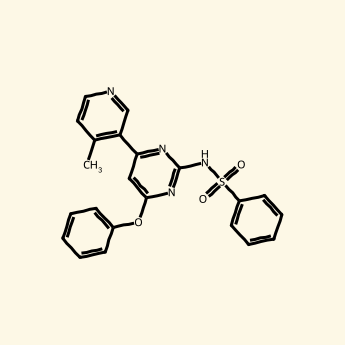 Cc1ccncc1-c1cc(Oc2ccccc2)nc(NS(=O)(=O)c2ccccc2)n1